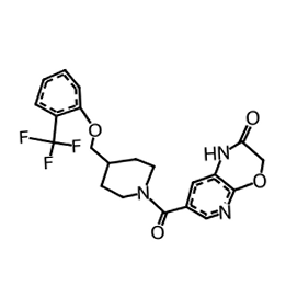 O=C1COc2ncc(C(=O)N3CCC(COc4ccccc4C(F)(F)F)CC3)cc2N1